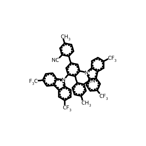 Cc1ccc(-c2cc(-n3c4ccc(C(F)(F)F)cc4c4cc(C(F)(F)F)ccc43)c(-c3ccc(C)cc3C#N)c(-n3c4ccc(C(F)(F)F)cc4c4cc(C(F)(F)F)ccc43)c2)c(C#N)c1